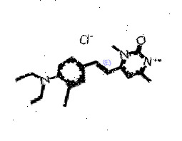 CCN(CC)c1ccc(/C=C/c2cc(C)[n+](C)c(=O)n2C)cc1C.[Cl-]